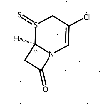 O=C1C[C@@H]2N1C=C(Cl)CS2=S